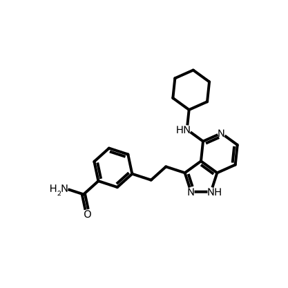 NC(=O)c1cccc(CCc2n[nH]c3ccnc(NC4CCCCC4)c23)c1